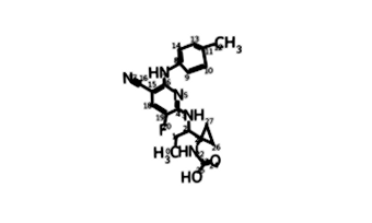 CCC(Nc1nc(Nc2ccc(C)cc2)c(C#N)cc1F)C1(NC(=O)O)CC1